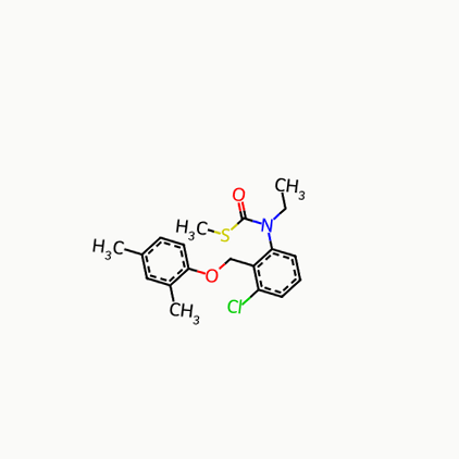 CCN(C(=O)SC)c1cccc(Cl)c1COc1ccc(C)cc1C